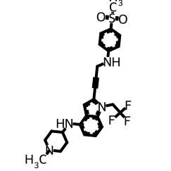 CN1CCC(Nc2cccc3c2cc(C#CCNc2ccc(S(C)(=O)=O)cc2)n3CC(F)(F)F)CC1